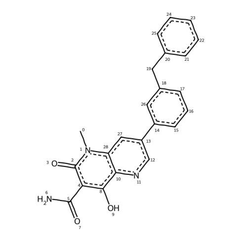 Cn1c(=O)c(C(N)=O)c(O)c2ncc(-c3cccc(Cc4ccccc4)c3)cc21